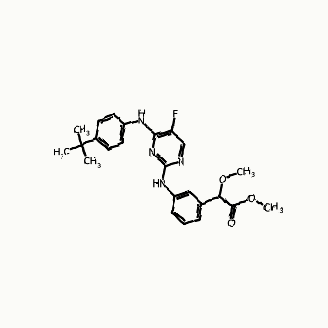 COC(=O)C(OC)c1cccc(Nc2ncc(F)c(Nc3ccc(C(C)(C)C)cc3)n2)c1